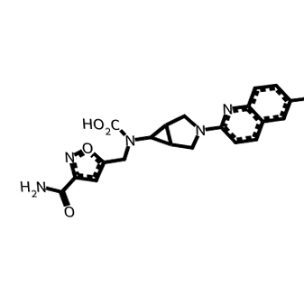 NC(=O)c1cc(CN(C(=O)O)C2C3CN(c4ccc5cc(F)ccc5n4)CC32)on1